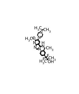 COc1nc2ncnc(N[C@H](C)c3cccc(C(F)(F)C(C)(C)O)c3)c2cc1N1CCN(C(C)C)CC1